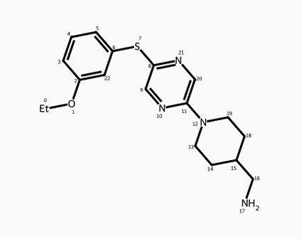 CCOc1cccc(Sc2cnc(N3CCC(CN)CC3)cn2)c1